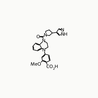 COc1cc(N2CCN(C(=O)N3CCC(c4cn[nH]c4)C3)c3ccccc32)ccc1C(=O)O